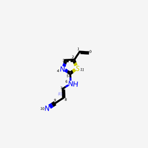 C=Cc1cnc(N/C=C/C#N)s1